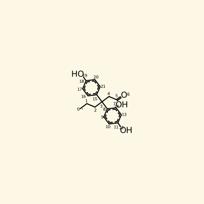 [CH2]CCC(CC(=O)O)(c1ccc(O)cc1)c1ccc(O)cc1